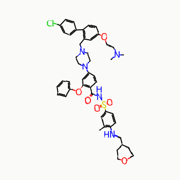 Cc1cc(S(=O)(=O)NC(=O)c2ccc(N3CCN(Cc4cc(OCCN(C)C)ccc4-c4ccc(Cl)cc4)CC3)cc2Oc2ccccc2)ccc1NCC1CCOCC1